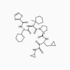 CC1([C@H](NC(=O)[C@@H](NC(=O)c2cccs2)C2CCCCC2)C(=O)N2CCC[C@H]2C(=O)NC(CC2CC2)C(=O)C(=O)NC2CC2)CCCCC1